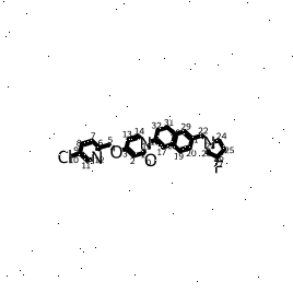 O=c1cc(OCc2ccc(Cl)cn2)ccn1C1=Cc2ccc(CN3CC[C@H](F)C3)cc2CC1